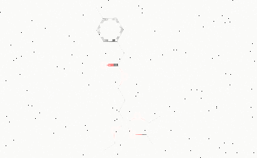 CCO[Si](CCCOC(=O)Cc1ccc(C)cc1)(OCC)OCC